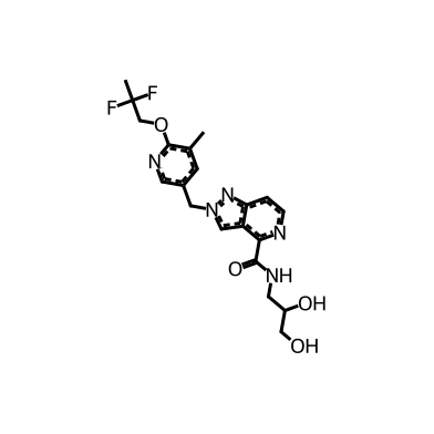 Cc1cc(Cn2cc3c(C(=O)NCC(O)CO)nccc3n2)cnc1OCC(C)(F)F